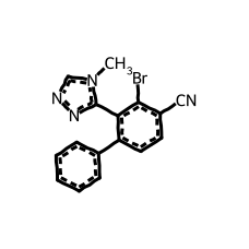 Cn1cnnc1-c1c(-c2ccccc2)ccc(C#N)c1Br